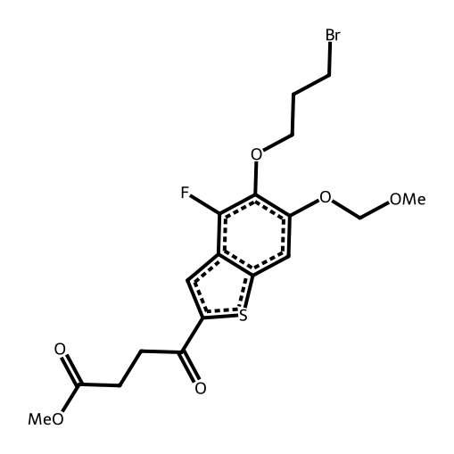 COCOc1cc2sc(C(=O)CCC(=O)OC)cc2c(F)c1OCCCBr